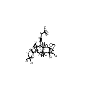 COC1(C)O[C@@H]2[C@@H](C#CCC(F)F)C3(CC3)N(C(=O)OC(C)(C)C)C[C@H]2OC1(C)OC